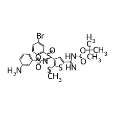 CSc1sc(C(=N)NC(=O)OC(C)(C)C)cc1S(=O)(=NS(=O)(=O)c1cccc(N)c1)c1cccc(Br)c1